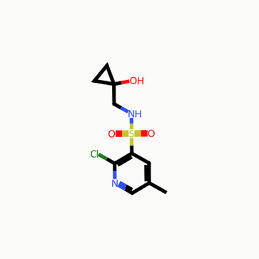 Cc1cnc(Cl)c(S(=O)(=O)NCC2(O)CC2)c1